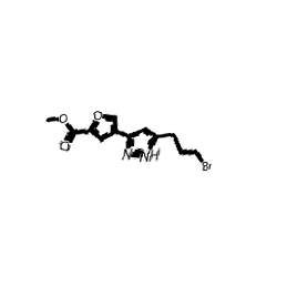 COC(=O)c1cc(-c2cc(CCCBr)[nH]n2)co1